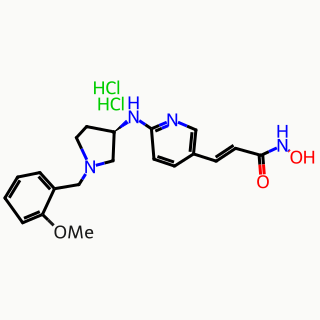 COc1ccccc1CN1CC[C@@H](Nc2ccc(/C=C/C(=O)NO)cn2)C1.Cl.Cl